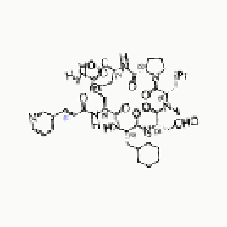 CC(C)C[C@H](NC(=O)[C@@H]1CCCN1C(=O)[C@H](CC(C)C)N(I)C(=O)[C@H](CC=O)N(C)C(=O)[C@H](CC1CCCCC1)NC(=O)[C@H](CCC(N)=O)NC(=O)/C=C/c1cccnc1)C(=O)O